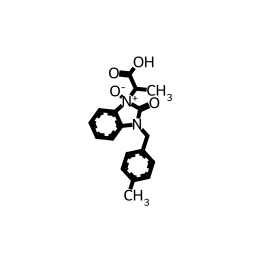 Cc1ccc(CN2C(=O)[N+]([O-])(C(C)C(=O)O)c3ccccc32)cc1